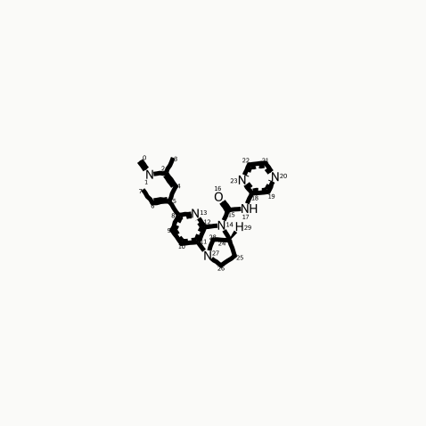 C=N/C(C)=C\C(=C/C)c1ccc2c(n1)N(C(=O)Nc1cnccn1)[C@@H]1CCN2C1